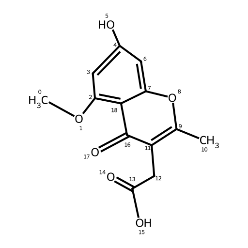 COc1cc(O)cc2oc(C)c(CC(=O)O)c(=O)c12